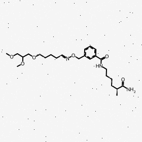 COCC(COCCCC/C=N/OCc1cccc(C(=O)NCCCC[C@H](C)C(N)=O)c1)OC